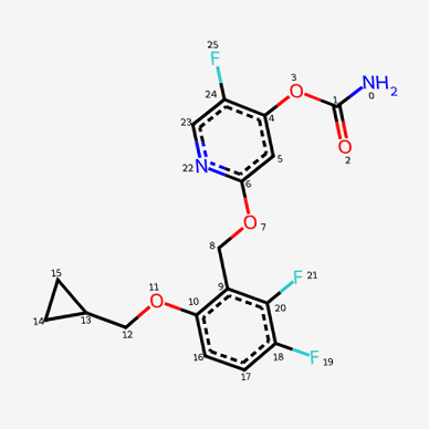 NC(=O)Oc1cc(OCc2c(OCC3CC3)ccc(F)c2F)ncc1F